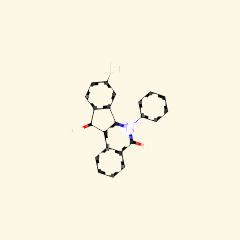 O=C1c2ccc(Br)cc2-c2c1c1ccccc1c(=O)n2-c1ccccc1